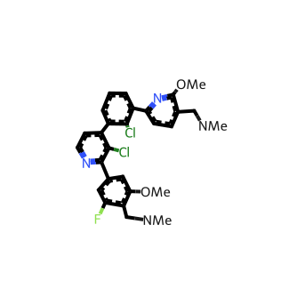 CNCc1ccc(-c2cccc(-c3ccnc(-c4cc(F)c(CNC)c(OC)c4)c3Cl)c2Cl)nc1OC